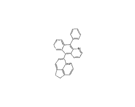 c1ccc(-c2c3ccccc3c(-c3ccc4c5c(cccc35)CC4)c3cccnc23)cc1